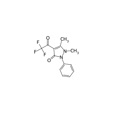 Cc1c(C(=O)C(F)(F)F)c(=O)n(-c2ccccc2)n1C